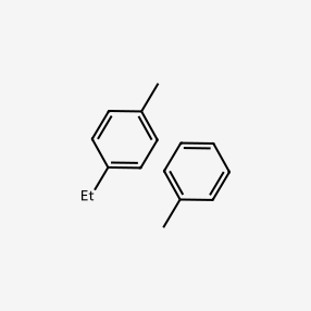 CCc1ccc(C)cc1.Cc1ccccc1